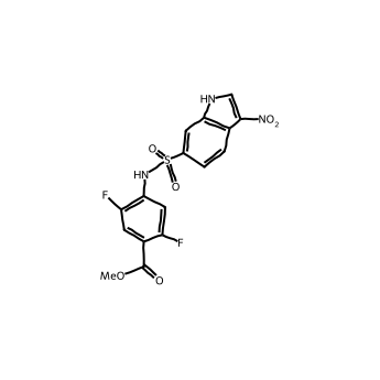 COC(=O)c1cc(F)c(NS(=O)(=O)c2ccc3c([N+](=O)[O-])c[nH]c3c2)cc1F